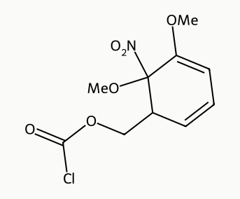 COC1=CC=CC(COC(=O)Cl)C1(OC)[N+](=O)[O-]